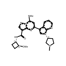 CNc1cc(-c2cn([C@@H]3CCN(C)C3)c3ncccc23)nc2c(C(=O)N[C@H]3CC[C@@H]3OC)cnn12